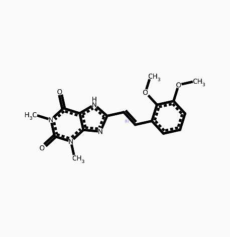 COc1cccc(/C=C/c2nc3c([nH]2)c(=O)n(C)c(=O)n3C)c1OC